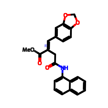 COC(=O)/C(=C/c1ccc2c(c1)OCO2)CC(=O)Nc1cccc2ccccc12